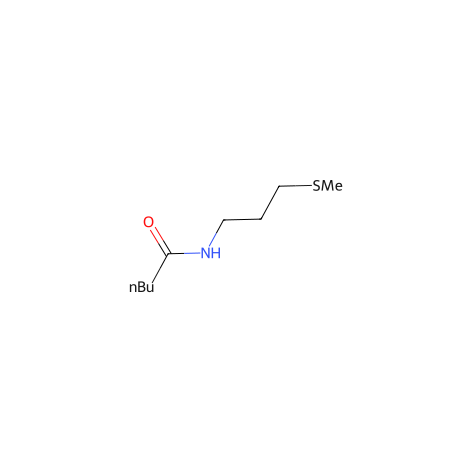 CCCCC(=O)NCCCSC